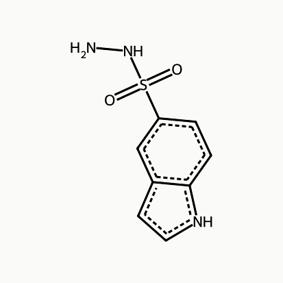 NNS(=O)(=O)c1ccc2[nH]ccc2c1